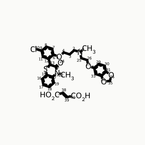 CN(CCCOc1ccc(Cl)cc1C1Sc2ccccc2N(C)C1=O)CCOc1ccc2c(c1)OCO2.O=C(O)C=CC(=O)O